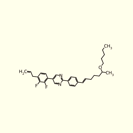 C=CCc1ccc(-c2cnc(-c3ccc(/C=C/CCCC(C)OCCCCC)cc3)nc2)c(F)c1F